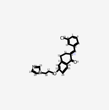 O=C1/C(=C/c2cccc(Cl)c2)CCc2cc(OCCn3ccnc3)ccc21